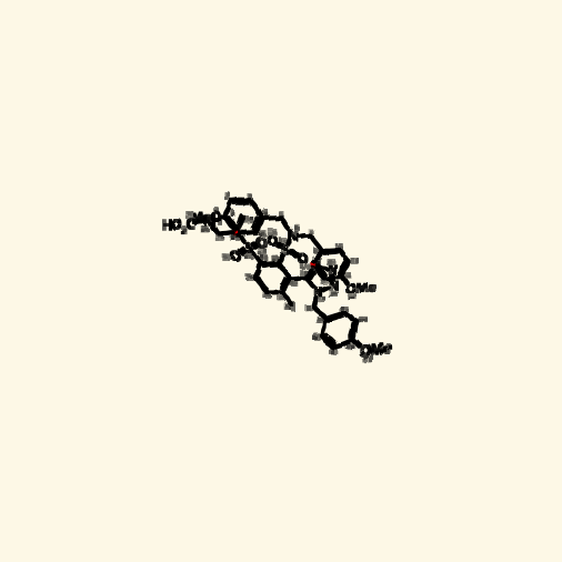 COc1ccc(CN(Cc2ccc(OC)cc2)S(=O)(=O)c2c(S(=O)(=O)[C@H](C)CNC(=O)O)ccc(I)c2-c2nnnn2Cc2ccc(OC)cc2)cc1